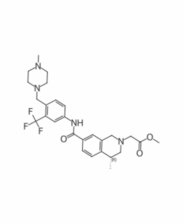 COC(=O)CN1Cc2cc(C(=O)Nc3ccc(CN4CCN(C)CC4)c(C(F)(F)F)c3)ccc2[C@@H](C)C1